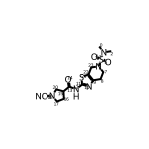 CN(C)S(=O)(=O)N1CCc2nc(NC(=O)C3CCN(C#N)C3)sc2C1